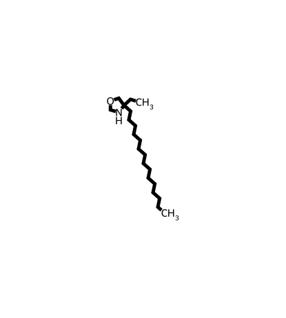 CCCCCCCCCCCCCCCC1(CC)COCN1